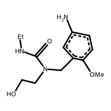 CCNC(=O)N(CCO)Cc1cc(N)ccc1OC